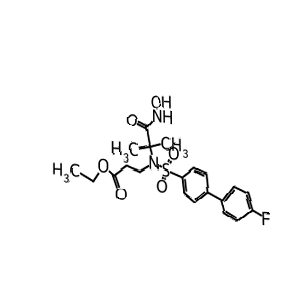 CCOC(=O)CCN(C(C)(C)C(=O)NO)S(=O)(=O)c1ccc(-c2ccc(F)cc2)cc1